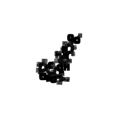 COC(=O)c1ccc(N2C[C@@H]3C[C@H]2C[C@H]3OCc2c(-c3c(Cl)cccc3Cl)noc2C2(F)CC2)nc1